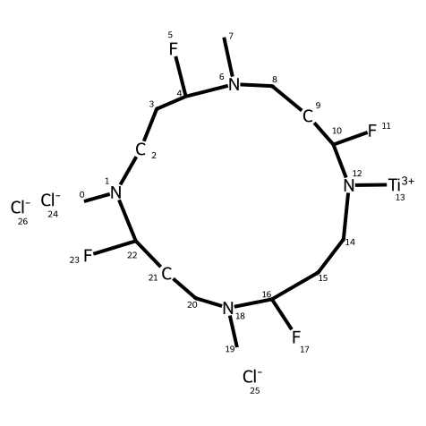 CN1CCC(F)N(C)CCC(F)[N]([Ti+3])CCC(F)N(C)CCC1F.[Cl-].[Cl-].[Cl-]